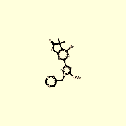 COc1cc(-c2nc(Br)c3c(n2)NC(=O)C3(C)C)nn1Cc1cncnc1